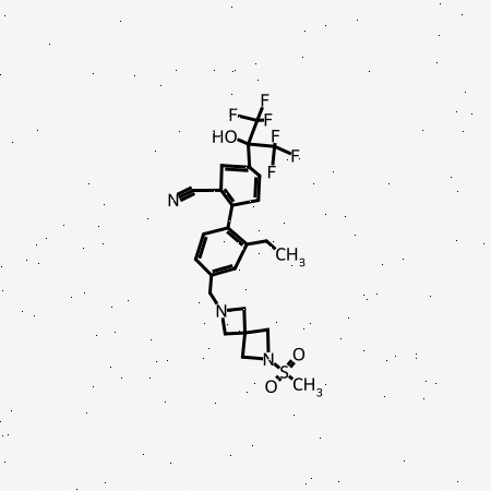 CCc1cc(CN2CC3(C2)CN(S(C)(=O)=O)C3)ccc1-c1ccc(C(O)(C(F)(F)F)C(F)(F)F)cc1C#N